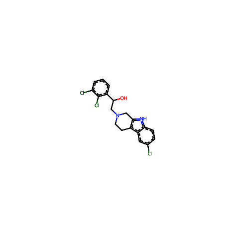 OC(CN1CCc2c([nH]c3ccc(Cl)cc23)C1)c1cccc(Cl)c1Cl